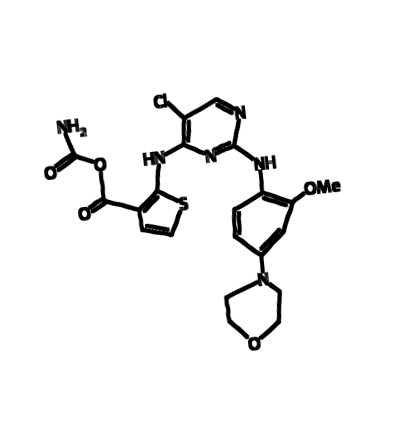 COc1cc(N2CCOCC2)ccc1Nc1ncc(Cl)c(Nc2sccc2C(=O)OC(N)=O)n1